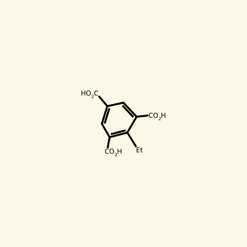 [CH2]Cc1c(C(=O)O)cc(C(=O)O)cc1C(=O)O